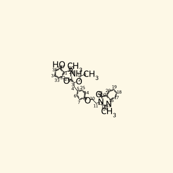 CCOC(Cc1ccc(OCCn2c(C)nc3ccccc3c2=O)cc1)C(=O)NC(C)c1ccccc1O